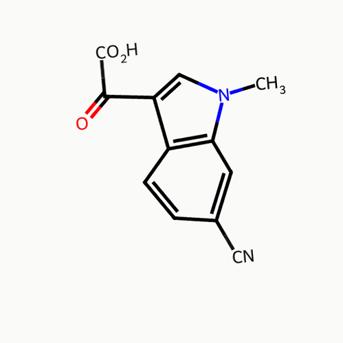 Cn1cc(C(=O)C(=O)O)c2ccc(C#N)cc21